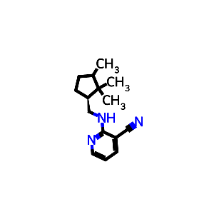 CC1CC[C@H](CNc2ncccc2C#N)C1(C)C